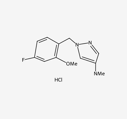 CNc1cnn(Cc2ccc(F)cc2OC)c1.Cl